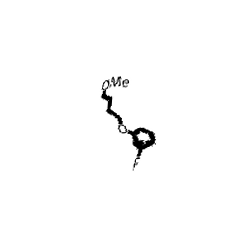 COCCCCOc1cc[c]c(F)c1